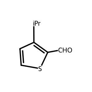 CC(C)c1ccsc1C=O